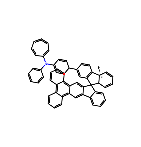 C1=CC=CC(N(C2=CCC(c3ccc4c(c3)C3(c5ccccc5-c5cc6c7ccccc7c7ccccc7c6cc53)C3C=CC=C[C@H]43)C=C2)c2ccccc2)=CC=1